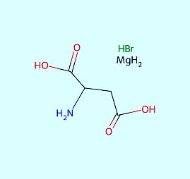 Br.NC(CC(=O)O)C(=O)O.[MgH2]